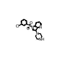 O=S(=O)(c1cccc(Cl)c1)n1cc(N2CCNCC2)c2ncccc21